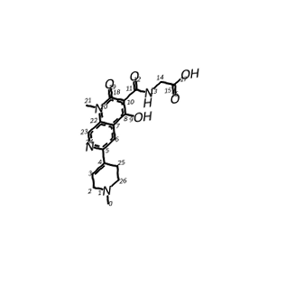 CN1CC=C(c2cc3c(O)c(C(=O)NCC(=O)O)c(=O)n(C)c3cn2)CC1